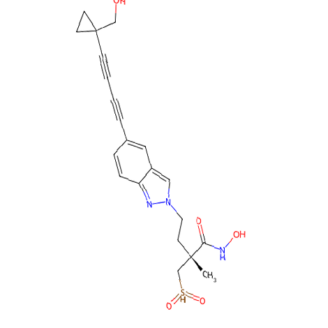 C[C@](CCn1cc2cc(C#CC#CC3(CO)CC3)ccc2n1)(C[SH](=O)=O)C(=O)NO